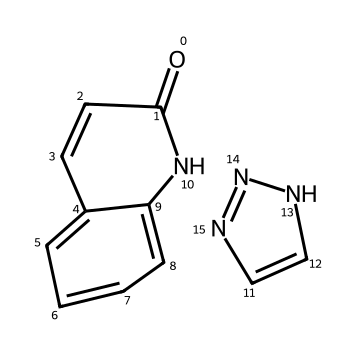 O=c1ccc2ccccc2[nH]1.c1c[nH]nn1